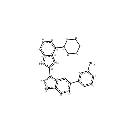 Nc1cncc(-c2cc3c(-c4nc5c(N6CCCCC6)cncc5[nH]4)n[nH]c3cn2)c1